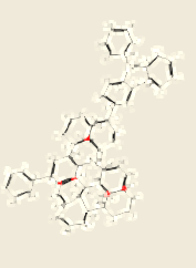 c1ccc(-c2ccc(N(c3ccc(-c4ccc5c(c4)c4ccccc4n5-c4ccccc4)cc3)c3ccccc3-c3cccc4cccc(C5CCCCC5)c34)c(-c3ccccc3)c2)cc1